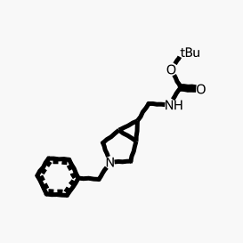 CC(C)(C)OC(=O)NCC1C2CN(Cc3ccccc3)CC12